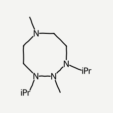 CC(C)N1CCN(C)CCN(C(C)C)N1C